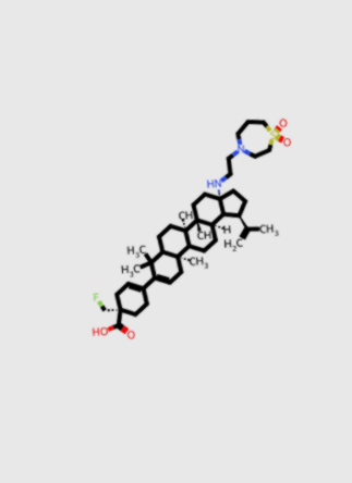 C=C(C)[C@@H]1CC[C@]2(NCCN3CCCS(=O)(=O)CC3)CC[C@]3(C)[C@H](CCC4[C@@]5(C)CC=C(C6=CC[C@](CF)(C(=O)O)CC6)C(C)(C)C5CC[C@]43C)C12